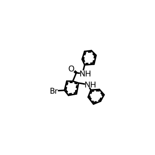 O=C(Nc1ccccc1)c1cc(Br)ccc1Nc1ccccc1